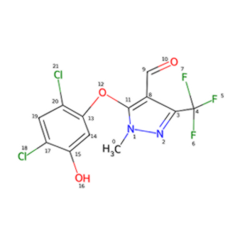 Cn1nc(C(F)(F)F)c(C=O)c1Oc1cc(O)c(Cl)cc1Cl